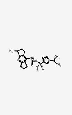 CC1CCc2c1nc1c(c2NC(=O)N=[S@@](N)(=O)c2cn(C(C)C)cn2)CCC1